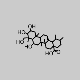 CC1CCC2(C(=O)O)CCC3(C)C(=CCC4C5(C)CC(O)C(O)C(C)(CO)C5C(O)CC43C)C2C1C